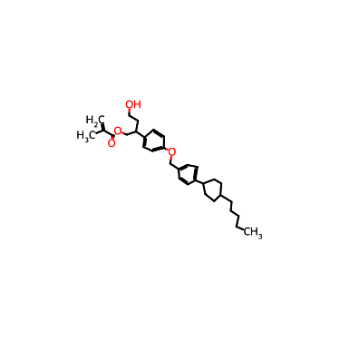 C=C(C)C(=O)OCC(CCO)c1ccc(OCc2ccc(C3CCC(CCCCC)CC3)cc2)cc1